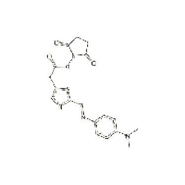 CN(C)c1ccc(N=Nc2ncc(CC(=O)ON3C(=O)CCC3=O)s2)cc1